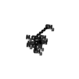 CCCCCCCCCCCC(C)(CCCC)CC1C=C(S(=O)(=O)O)C=C(C(C)(C)CCC)C1O